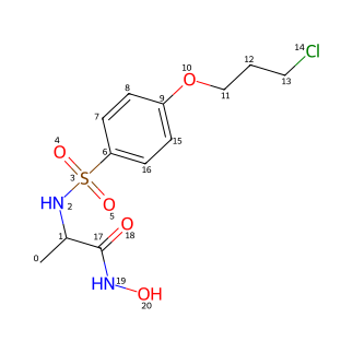 CC(NS(=O)(=O)c1ccc(OCCCCl)cc1)C(=O)NO